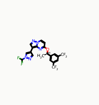 C[C@@H](Oc1ccn2ncc(-c3cnn(C(F)F)c3)c2n1)c1cc(C(F)(F)F)cc(C(F)(F)F)c1